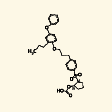 CCCc1cc(Oc2ccccc2)ccc1OCCCc1ccc(S(=O)(=O)N2CCC[C@H]2OC(=O)O)cc1